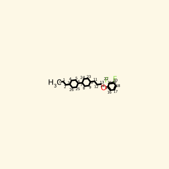 CCCC1CCC(C2CCC(CCCOc3cccc(F)c3F)CC2)CC1